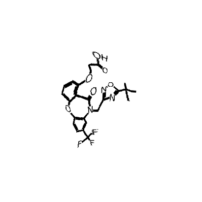 CC(C)(C)c1nc(CN2C(=O)c3c(OCC(=O)O)cccc3Oc3ccc(C(F)(F)F)cc32)no1